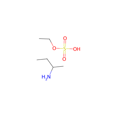 CCC(C)N.CCOS(=O)(=O)O